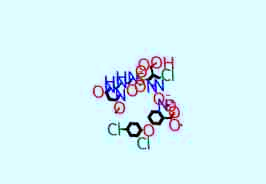 COC(=O)c1cc(Oc2ccc(Cl)cc2Cl)ccc1[N+](=O)[O-].COc1cc(OC)nc(NC(=O)NS(=O)(=O)c2c(C(=O)O)c(Cl)nn2C)n1